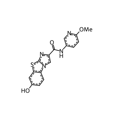 COc1ccc(NC(=O)c2cn3c(n2)sc2cc(O)ccc23)cn1